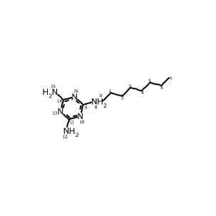 CCCCCCCC.Nc1nc(N)nc(N)n1